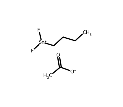 CC(=O)[O-].CCC[CH2][Sn+]([F])[F]